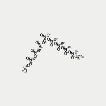 ClOCl.O=[N+]([O-])[O-].O=[N+]([O-])[O-].O=[N+]([O-])[O-].O=[N+]([O-])[O-].O=[N+]([O-])[O-].O=[N+]([O-])[O-].O=[N+]([O-])[O-].O=[N+]([O-])[O-].[Zr+4].[Zr+4]